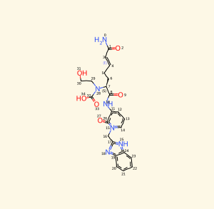 NC(=O)/C=C/CC[C@@H](C(=O)Nc1cccn(Cc2nc3ccccc3[nH]2)c1=O)N(CCO)C(=O)O